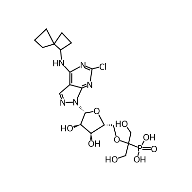 O=P(O)(O)C(CO)(CO)OC[C@H]1O[C@@H](n2ncc3c(NC4CCC45CCC5)nc(Cl)nc32)[C@H](O)[C@@H]1O